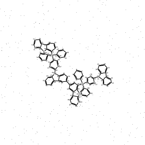 c1ccc([Si](c2ccccc2)(c2cnc(-n3c4ccccc4c4ccccc43)nc2)c2cc(-c3ccc4c(c3)c3ccccc3n4-c3ncc([Si](c4ccccc4)(c4ccccc4)c4cccc5c4sc4ncccc45)cn3)cc3c2oc2ncccc23)cc1